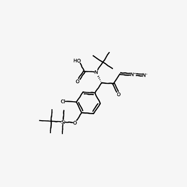 CC(C)(C)N(C(=O)O)[C@H](C(=O)C=[N+]=[N-])c1ccc(O[Si](C)(C)C(C)(C)C)c(Cl)c1